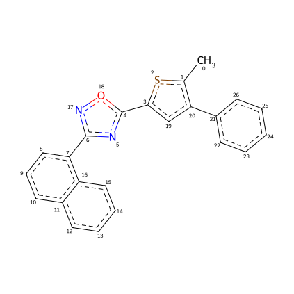 Cc1sc(-c2nc(-c3cccc4ccccc34)no2)cc1-c1ccccc1